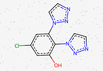 Oc1cc(Cl)cc(-n2ccnn2)c1-n1ccnn1